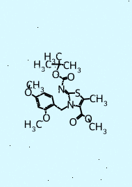 COC(=O)c1c(C)sc(=NC(=O)OC(C)(C)C)n1Cc1ccc(OC)cc1OC